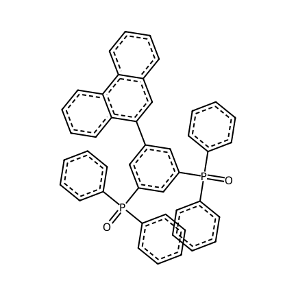 O=P(c1ccccc1)(c1ccccc1)c1cc(-c2cc3ccccc3c3ccccc23)cc(P(=O)(c2ccccc2)c2ccccc2)c1